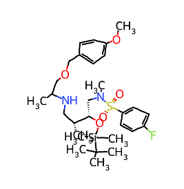 COc1ccc(COCC(C)NC[C@@H](C)[C@H](CN(C)S(=O)(=O)c2ccc(F)cc2)O[Si](C)(C)C(C)(C)C)cc1